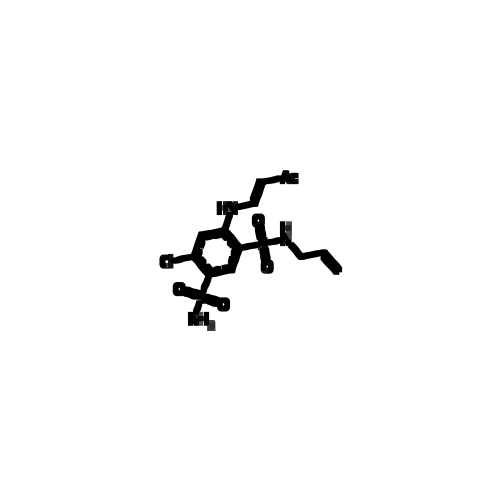 C=CCNS(=O)(=O)c1cc(S(N)(=O)=O)c(Cl)cc1N/C=C/C(C)=O